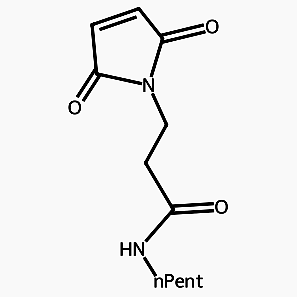 CCCCCNC(=O)CCN1C(=O)C=CC1=O